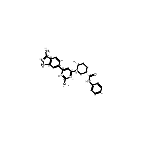 C[C@@H]1CC[C@H](C(=O)Nc2ccccc2)CN1c1cc(-c2ccc3c(N)n[nH]c3c2)nc(N)n1